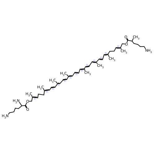 CC(/C=C/C=C(C)/C=C/C=C(\C)CC/C=C(\C)COC(=O)C(C)CCCCN)=C\C=C\C=C(C)\C=C\C=C(C)\C=C\C=C(/C)CC/C=C(\C)COC(=O)C(N)CCCCN